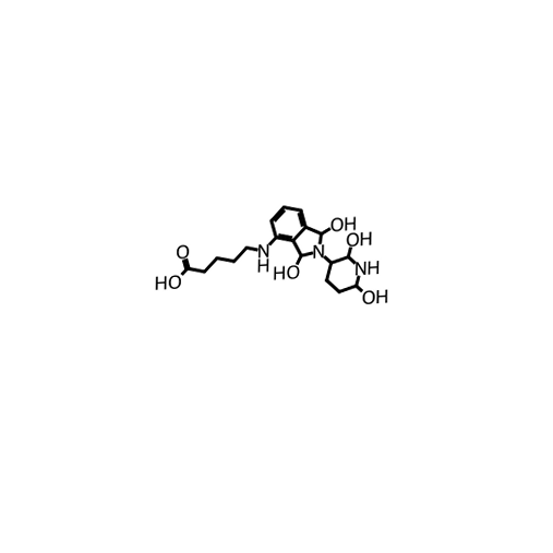 O=C(O)CCCCNc1cccc2c1C(O)N(C1CCC(O)NC1O)C2O